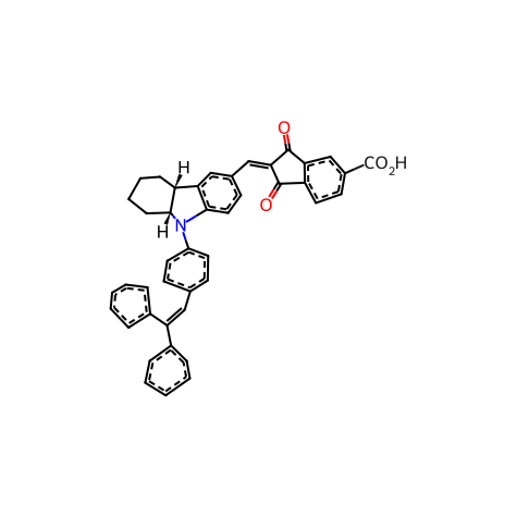 O=C(O)c1ccc2c(c1)C(=O)/C(=C/c1ccc3c(c1)[C@H]1CCCC[C@H]1N3c1ccc(C=C(c3ccccc3)c3ccccc3)cc1)C2=O